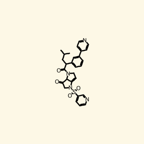 CC(C)CC(C(=O)N1CC=C2C1C(=O)CN2S(=O)(=O)c1cccnc1)c1cccc(-c2ccncc2)c1